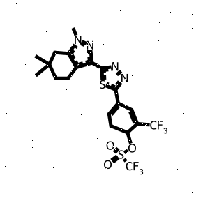 Cn1nc(-c2nnc(C3=CCC(OS(=O)(=O)C(F)(F)F)C(C(F)(F)F)=C3)s2)c2c1CC(C)(C)CC2